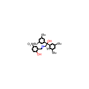 CC(C)[C@H](N=Cc1cc([N+](=O)[O-])ccc1O)C(O)(c1cc(C(C)(C)C)cc(C(C)(C)C)c1)c1cc(C(C)(C)C)cc(C(C)(C)C)c1